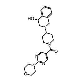 O=C(c1cnc(N2CCOCC2)nc1)N1CCC(N2Cc3ccccc3C(O)C2)CC1